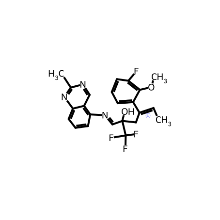 C/C=C(\CC(O)(C=Nc1cccc2nc(C)ncc12)C(F)(F)F)c1cccc(F)c1OC